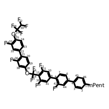 CCCCCc1ccc(-c2ccc(-c3cc(F)c(C(F)(F)Oc4ccc(-c5ccc(OC(F)(F)C(F)F)c(F)c5)c(F)c4)c(F)c3)c(F)c2)cc1